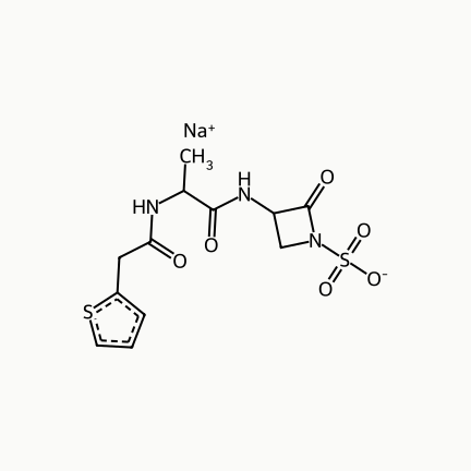 CC(NC(=O)Cc1cccs1)C(=O)NC1CN(S(=O)(=O)[O-])C1=O.[Na+]